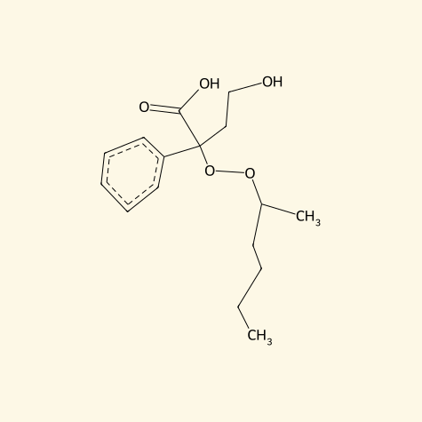 CCCCC(C)OOC(CCO)(C(=O)O)c1ccccc1